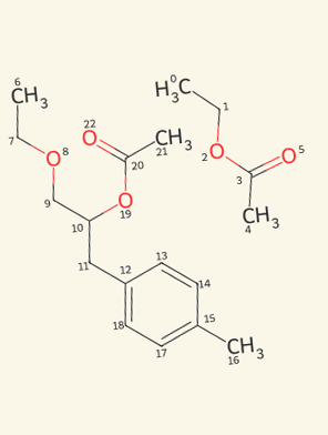 CCOC(C)=O.CCOCC(Cc1ccc(C)cc1)OC(C)=O